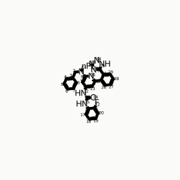 CCCN(Cc1ccccc1)c1cc(NC(=O)Nc2ccccc2F)cc(-c2ccccc2-c2nnn[nH]2)n1